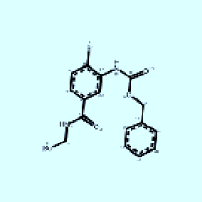 CC(C)(C)CNC(=O)c1ccc(Br)c(NC(=O)OCc2ccccc2)c1